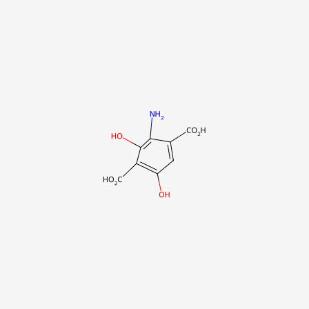 Nc1c(C(=O)O)cc(O)c(C(=O)O)c1O